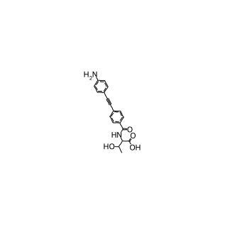 CC(O)C(NC(=O)c1ccc(C#Cc2ccc(N)cc2)cc1)C(=O)O